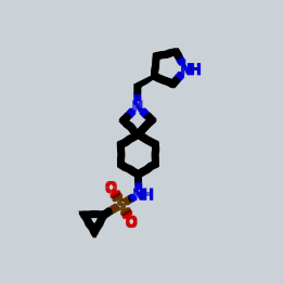 O=S(=O)(NC1CCC2(CC1)CN(C[C@H]1CCNC1)C2)C1CC1